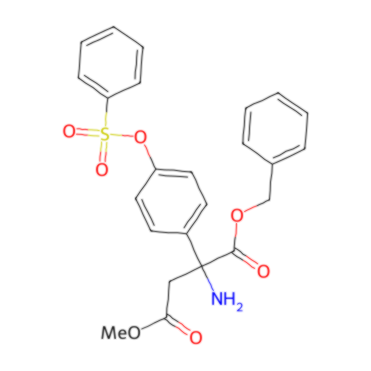 COC(=O)CC(N)(C(=O)OCc1ccccc1)c1ccc(OS(=O)(=O)c2ccccc2)cc1